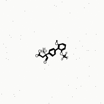 COc1cccc(OC(F)(F)F)c1-c1ccc([C@@](N)(C=O)CC(=O)O)cc1